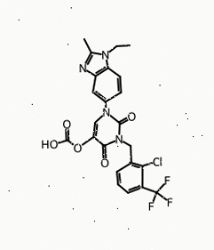 CCn1c(C)nc2cc(-n3cc(OC(=O)O)c(=O)n(Cc4cccc(C(F)(F)F)c4Cl)c3=O)ccc21